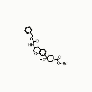 CC(C)(C)OC(=O)N1CCC(O)(c2ccc3c(c2)OC[C@H](NC(=O)OCc2ccccc2)C3)CC1